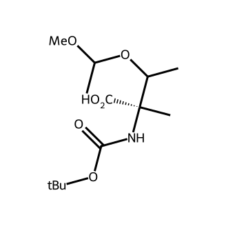 COC(C)OC(C)[C@@](C)(NC(=O)OC(C)(C)C)C(=O)O